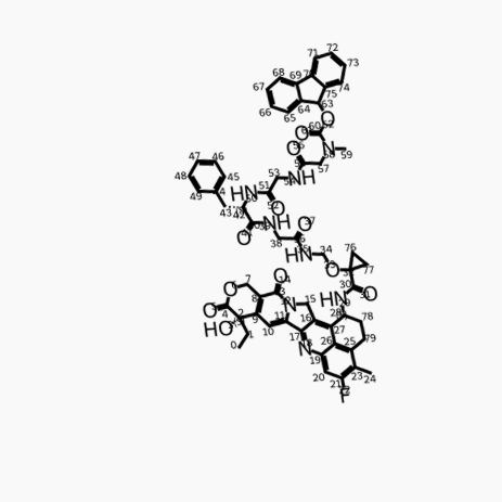 CC[C@@]1(O)C(=O)OCc2c1cc1n(c2=O)Cc2c-1nc1cc(F)c(C)c3c1c2[C@@H](NC(=O)C1(OCNC(=O)CNC(=O)[C@H](Cc2ccccc2)NC(=O)CNC(=O)CN(C)C(=O)OC2c4ccccc4-c4ccccc42)CC1)CC3